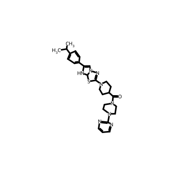 CC(C)c1ccc(C2=CN3N=C(N4CCC(C(=O)N5CCN(c6ncccn6)CC5)CC4)SC3N2)cc1